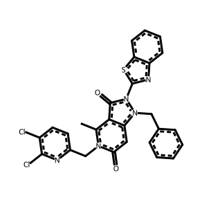 Cc1c2c(=O)n(-c3nc4ccccc4s3)n(Cc3ccccc3)c2cc(=O)n1Cc1ccc(Cl)c(Cl)n1